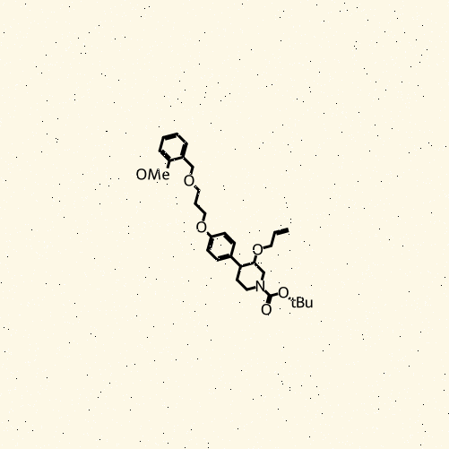 C=CCOC1CN(C(=O)OC(C)(C)C)CCC1c1ccc(OCCCOCc2ccccc2OC)cc1